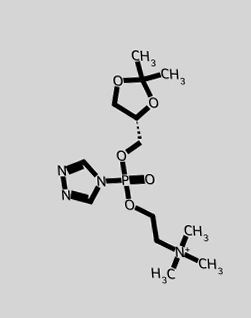 CC1(C)OC[C@@H](COP(=O)(OCC[N+](C)(C)C)n2cnnc2)O1